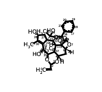 C=CC1O[C@H]2C[C@H]3OC[C@@]3(O)[C@H]3[C@H](OC(=O)c4ccccc4)[C@]4(C(C)(C)O)C[C@H](O)C(C)=C4[C@H](O)[C@H](O1)[C@]23C